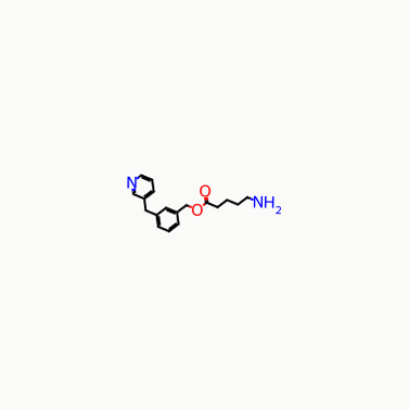 NCCCCC(=O)OCc1cccc(Cc2cccnc2)c1